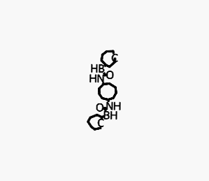 O=C(BC1CCCCCCC1)NC1CCCCC(NC(=O)BC2CCCCCCC2)CCC1